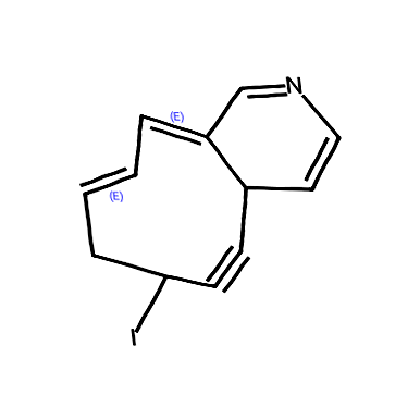 IC1C#CC2C=CN=C/C2=C/C=C/C1